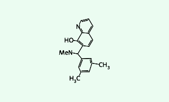 CNC(c1cc(C)cc(C)c1)c1ccc2cccnc2c1O